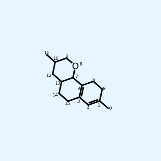 CC1=CC2=C(CC1)C1OCC(C)CC1CC2